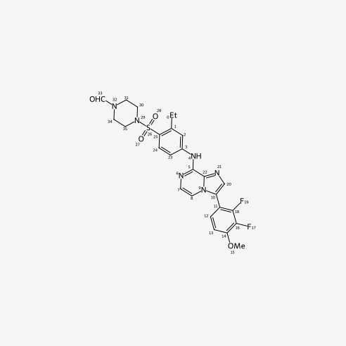 CCc1cc(Nc2nccn3c(-c4ccc(OC)c(F)c4F)cnc23)ccc1S(=O)(=O)N1CCN(C=O)CC1